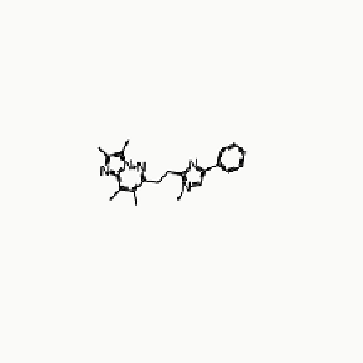 Cc1nc2c(C)c(C)c(CCc3nc(-c4ccccc4)cn3C)nn2c1C